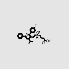 CO[P@](=O)(/C=C/c1c(C(C)C)cc(-c2ccccc2)nc1-c1ccc(F)cc1)CCCC(=O)O